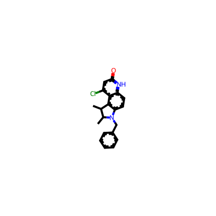 CC1c2c(ccc3[nH]c(=O)cc(Cl)c23)N(Cc2ccccc2)C1C